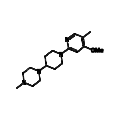 COc1cc(N2CCC(N3CCN(C)CC3)CC2)ncc1C